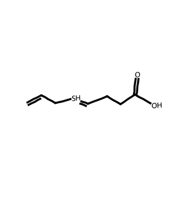 C=CC[SH]=CCCC(=O)O